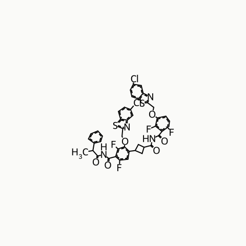 CC(C(=O)NC(=O)c1c(F)cc(C2CC(C(=O)NC(=O)c3c(F)ccc(OCc4nc5cc(Cl)ccc5s4)c3F)C2)c(OCc2nc3cc(Cl)ccc3s2)c1F)c1ccccc1